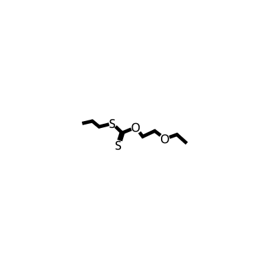 CCCSC(=S)OCCOCC